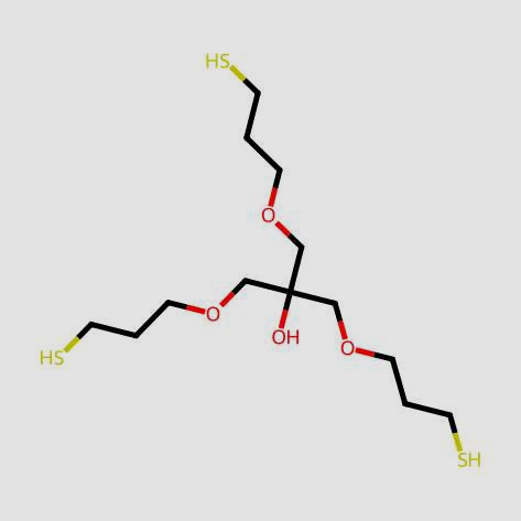 OC(COCCCS)(COCCCS)COCCCS